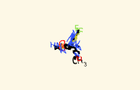 CCC(=O)N1CCC(c2ncnc3c2c2ccc(S(=O)(=O)NC4(C#N)CC4)cc2n3-c2nnc(C(F)F)s2)CC1